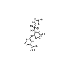 O=C(O)c1cccc(Oc2ncc(Cl)cc2NS(=O)(=O)c2ccc(Cl)s2)c1